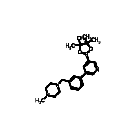 CN1CCN(Cc2cccc(-c3cncc(B4OC(C)(C)C(C)(C)O4)c3)c2)CC1